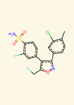 Cc1ccc(-c2noc(CF)c2-c2ccc(S(N)(=O)=O)c(F)c2)cc1Cl